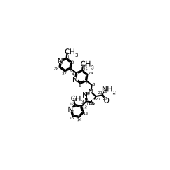 Cc1cc(-c2ncc(CN3N=C(c4cccnc4C)SC3C(N)=O)cc2C)ccn1